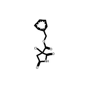 O=C1CC(Cl)(C(=O)OCc2ccccc2)C(=O)N1